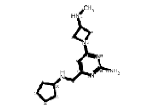 CNC1CN(c2cc(CNC3CCCC3)nc(N)n2)C1